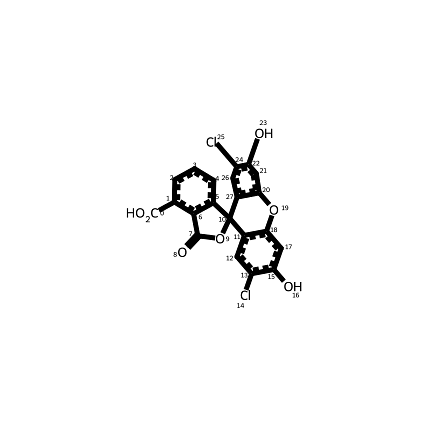 O=C(O)c1cccc2c1C(=O)OC21c2cc(Cl)c(O)cc2Oc2cc(O)c(Cl)cc21